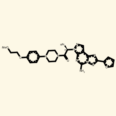 CCC[C@H](C(=O)N1CCN(c2ccc(OCCOC)cc2)CC1)n1ncc2c1nc(N)n1nc(-c3ccco3)nc21